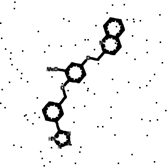 COc1cc(OCc2ccc3ccccc3n2)ccc1OCc1cccc(-c2nnn[nH]2)c1